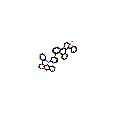 c1ccc(-c2ccccc2N(c2cccc(-c3cccc4c5ccc6oc7ccccc7c6c5c5ccccc5c34)c2)c2cccc3ccccc23)cc1